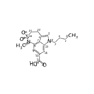 CCCCn1cc2c3c(cc(C(=O)O)cc31)N(C)S(=O)(=O)CC2